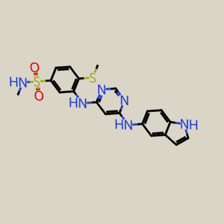 CNS(=O)(=O)c1ccc(SC)c(Nc2cc(Nc3ccc4[nH]ccc4c3)ncn2)c1